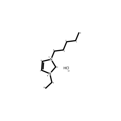 CCCCCN1C=CN(CC)C1.Cl